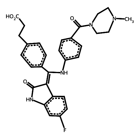 CN1CCN(C(=O)c2ccc(NC(=C3C(=O)Nc4cc(F)ccc43)c3ccc(CCC(=O)O)cc3)cc2)CC1